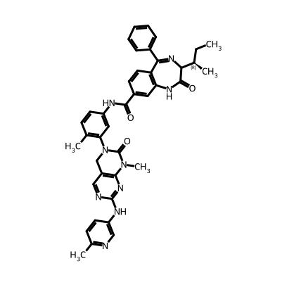 CC[C@@H](C)C1N=C(c2ccccc2)c2ccc(C(=O)Nc3ccc(C)c(N4Cc5cnc(Nc6ccc(C)nc6)nc5N(C)C4=O)c3)cc2NC1=O